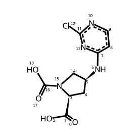 O=C(O)[C@@H]1C[C@H](Nc2ccnc(Cl)n2)CN1C(=O)O